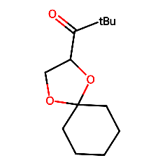 CC(C)(C)C(=O)C1COC2(CCCCC2)O1